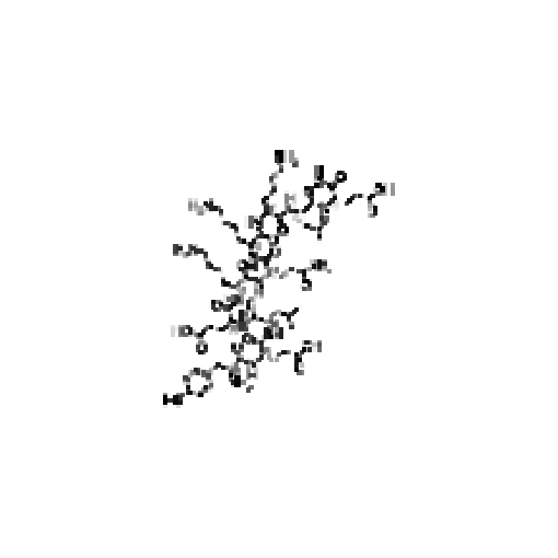 CC(C)C[C@H](NC(=O)[C@H](CCCCN)NC(=O)[C@H](CCCCN)NC(=O)[C@H](CCC(N)=O)NC(=O)[C@H](CCCCN)NC(=O)[C@H](CCC(=O)O)NC(=O)[C@H](CC(C)C)NC(=O)[C@H](CCC(=O)O)NC(=O)[C@@H](N)Cc1ccc(O)cc1)C(=O)N[C@@H](CCC(=O)O)C(=O)O